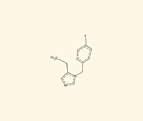 CCc1cncn1Cc1ccc(F)cc1